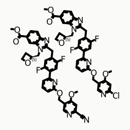 COC(=O)c1ccc2nc(Cc3cc(F)c(-c4cccc(OCc5cnc(C#N)cc5OC)n4)cc3F)n(C[C@@H]3CCO3)c2c1.COC(=O)c1ccc2nc(Cc3cc(F)c(-c4cccc(OCc5cnc(Cl)cc5OC)n4)cc3F)n(C[C@@H]3CCO3)c2c1